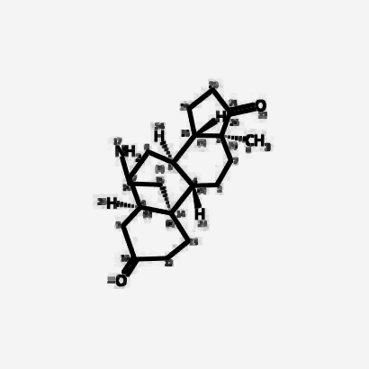 C[C@]12CC[C@H]3[C@@H](CC[C@@H]4CC(=O)CC[C@@]43CCN)[C@@H]1CCC2=O